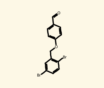 O=Cc1ccc(OCc2cc(Br)ccc2Br)cc1